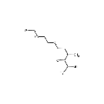 CC(C)CNCCOCCN(C)C(=O)C(C)S